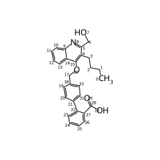 CCCCc1c(CO)nc2ccccc2c1OCc1ccc(-c2ccccc2C(=O)O)cc1